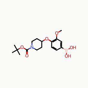 COc1cc(B(O)O)ccc1OC1CCN(C(=O)OC(C)(C)C)CC1